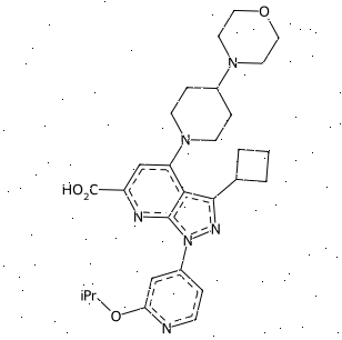 CC(C)Oc1cc(-n2nc(C3CCC3)c3c(N4CCC(N5CCOCC5)CC4)cc(C(=O)O)nc32)ccn1